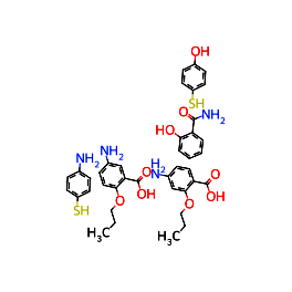 CCCOc1cc(N)ccc1C(=O)O.CCCOc1ccc(N)cc1C(=O)O.NC(=O)c1ccccc1O.Nc1ccc(S)cc1.Oc1ccc(S)cc1